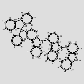 c1ccc(C2(c3ccc4c(c3)c3ccccc3n4-c3cccc4c3c3ccccc3n4-c3cccc4sc5ccccc5c34)c3ccccc3-c3ccccc32)cc1